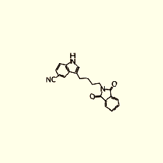 N#Cc1ccc2[nH]cc(CCCCN3C(=O)c4ccccc4C3=O)c2c1